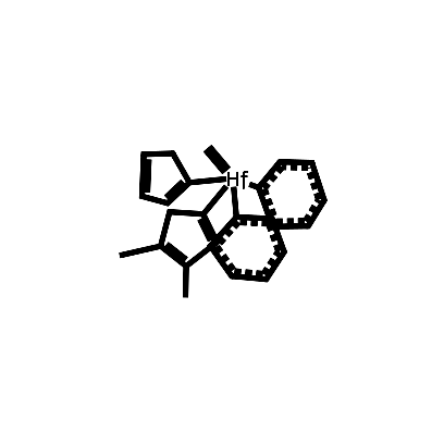 [CH2]=[Hf]([C]1=CC=CC1)([C]1=CC(C)=C(C)C1)([c]1ccccc1)[c]1ccccc1